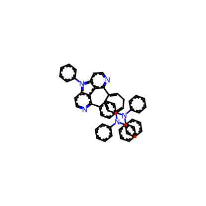 C1=CC(N(c2ccccc2)c2ccccc2)=CCC=C1c1nccc2c1c1c(-c3ccc(N(c4ccccc4)c4ccccc4)cc3)nccc1n2-c1ccccc1